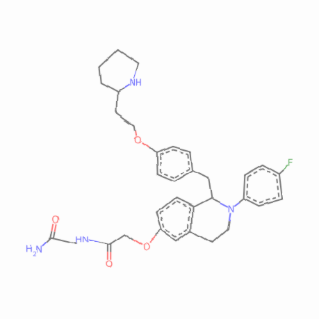 NC(=O)CNC(=O)COc1ccc2c(c1)CCN(c1ccc(F)cc1)C2Cc1ccc(OCCC2CCCCN2)cc1